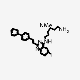 CNC(CCN)CCCNc1nc(C=Cc2ccc(-c3ccccc3)cc2)nc2ccc(I)cc12